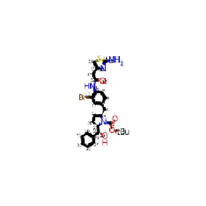 CC(C)(C)OC(=O)N1[C@H](Cc2ccc(NC(=O)Cc3csc(N)n3)c(Br)c2)CC[C@@H]1[C@H](O)c1ccccc1